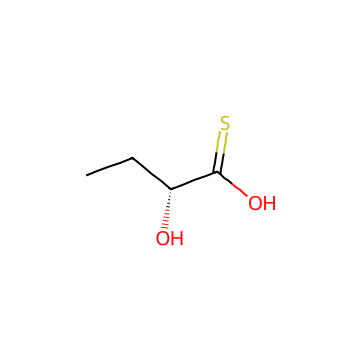 CC[C@@H](O)C(O)=S